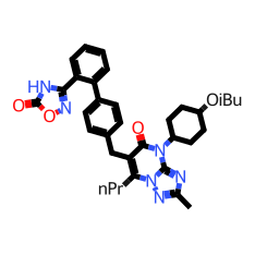 CCCc1c(Cc2ccc(-c3ccccc3-c3noc(=O)[nH]3)cc2)c(=O)n(C2CCC(OCC(C)C)CC2)c2nc(C)nn12